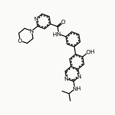 CC(C)Nc1ncc2cc(-c3cccc(NC(=O)c4ccnc(N5CCOCC5)c4)c3)c(O)cc2n1